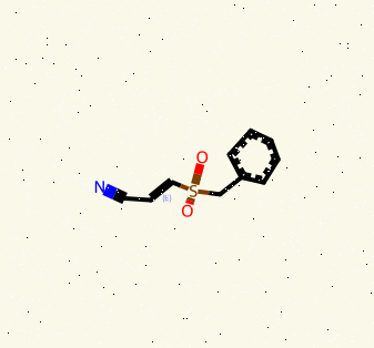 N#C/C=C/S(=O)(=O)Cc1ccccc1